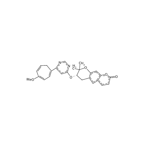 COC1=CC=C(c2cc(O[C@H]3Cc4cc5ccc(=O)oc5cc4OC3(C)C)ncn2)CC=C1